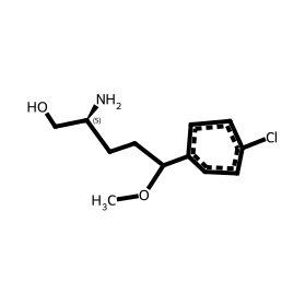 COC(CC[C@H](N)CO)c1ccc(Cl)cc1